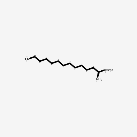 CCCCCCCC(N)CCCCCCCCCCCN